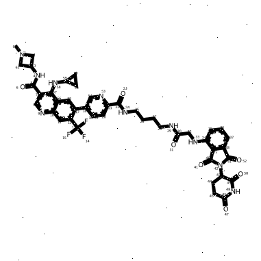 CN1CC(NC(=O)c2cnc3cc(C(F)(F)F)c(-c4ccc(C(=O)NCCCCNC(=O)CNc5cccc6c5C(=O)N(C5CCC(=O)NC5=O)C6=O)nc4)cc3c2NC2CC2)C1